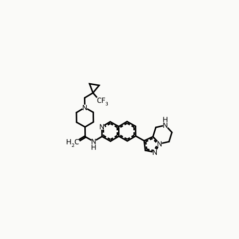 C=C(Nc1cc2cc(-c3cnn4c3CNCC4)ccc2cn1)C1CCN(CC2(C(F)(F)F)CC2)CC1